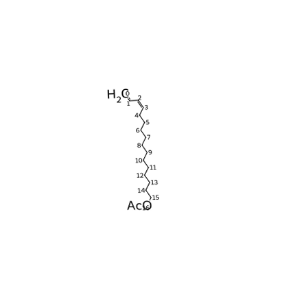 C=C/C=C\CCCCCCCCCCCCOC(C)=O